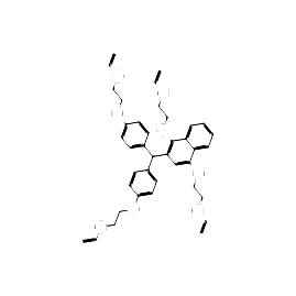 C=COCCOc1ccc(C(c2ccc(OCCOC=C)cc2)c2cc(OCCOC=C)c3ccccc3c2OCCOC=C)cc1